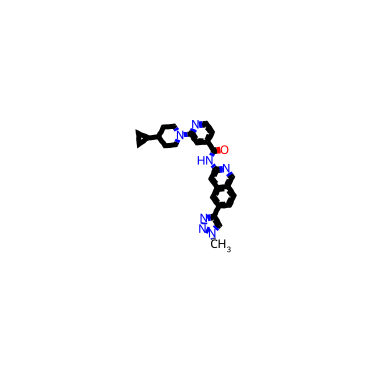 Cn1cc(-c2ccc3cnc(NC(=O)c4ccnc(N5CCC(C6CC6)CC5)c4)cc3c2)nn1